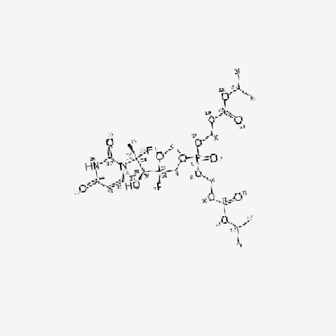 CO[C@](F)(COP(=O)(OCOC(=O)OC(C)C)OCOC(=O)OC(C)C)[C@@H](O)[C@@](C)(F)n1ccc(=O)[nH]c1=O